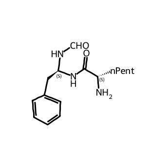 CCCCC[C@H](N)C(=O)N[C@@H](Cc1ccccc1)NC=O